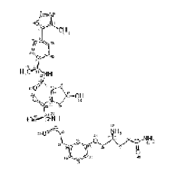 Cc1ncsc1-c1ccc([C@H](C)NC(=O)[C@@H]2C[C@@H](O)CN2C(=O)[C@@H](NC(=O)CCc2cccc(OC[C@@H](N)CCC(N)=O)c2)C(C)(C)C)cc1